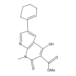 COC(=O)c1c(O)c2cc(C3=CCCCC3)cnc2n(C)c1=O